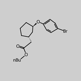 CCCCOC(=O)C[C@@H]1CCC[C@@H](Oc2ccc(Br)cc2)C1